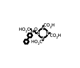 O=C(O)CN1CCN(CC(=O)O)CCN(CC(=O)N(CC(=O)O)c2ccc(-c3ccccc3)cc2)CCN(CC(=O)O)CC1